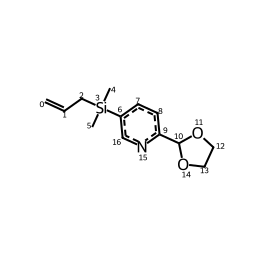 C=CC[Si](C)(C)c1ccc(C2OCCO2)nc1